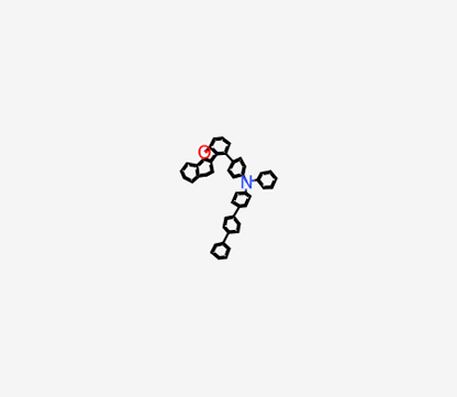 c1ccc(-c2ccc(-c3ccc(N(c4ccccc4)c4ccc(-c5cccc6oc7c8ccccc8ccc7c56)cc4)cc3)cc2)cc1